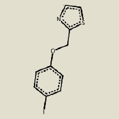 Ic1ccc(OCc2n[c]cs2)cc1